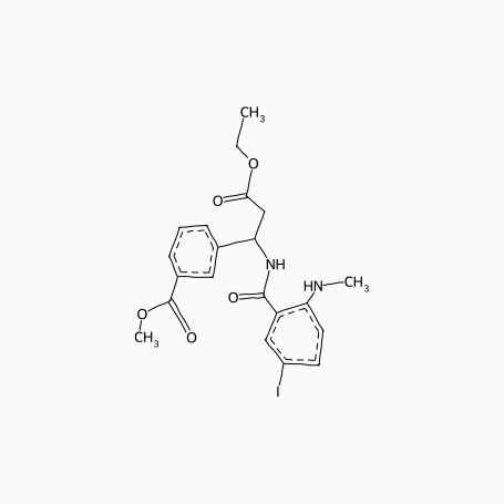 CCOC(=O)CC(NC(=O)c1cc(I)ccc1NC)c1cccc(C(=O)OC)c1